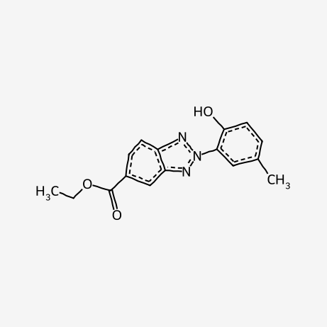 CCOC(=O)c1ccc2nn(-c3cc(C)ccc3O)nc2c1